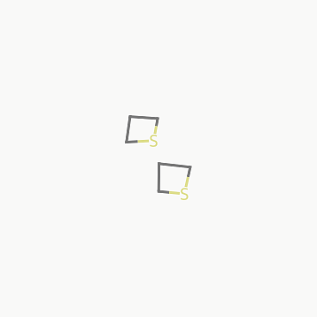 C1CSC1.C1CSC1